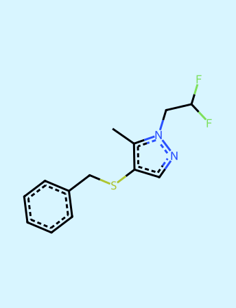 Cc1c(SCc2ccccc2)cnn1CC(F)F